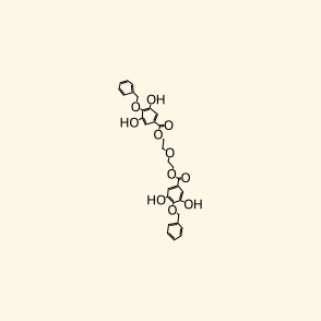 O=C(OCCOCCOC(=O)c1cc(O)c(OCc2ccccc2)c(O)c1)c1cc(O)c(OCc2ccccc2)c(O)c1